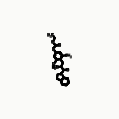 CCOC(=O)Oc1cc(C)c(CC(N)C(=O)N2CCc3ccccc32)c(Cl)c1